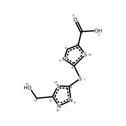 O=C(O)c1cnc(Sc2nnc(CO)s2)s1